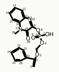 C=C(OCOP(=O)(O)Oc1nc2ccccc2n(C)c1=O)c1ccccc1